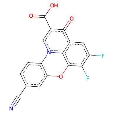 N#Cc1ccc2c(c1)Oc1c(F)c(F)cc3c(=O)c(C(=O)O)cn-2c13